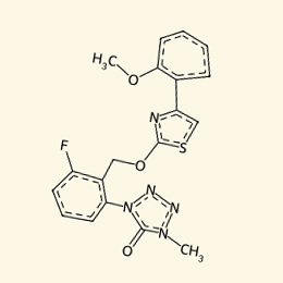 COc1ccccc1-c1csc(OCc2c(F)cccc2-n2nnn(C)c2=O)n1